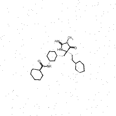 CN1C(=N)N[C@](CCC2CCCCC2)(C[C@H]2CCC[C@@H](NC(=O)C3CCCCC3)C2)C1=O